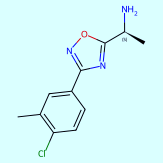 Cc1cc(-c2noc([C@H](C)N)n2)ccc1Cl